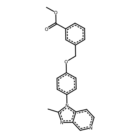 COC(=O)c1cccc(COc2ccc(-n3c(C)nc4cnccc43)cc2)c1